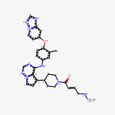 Cc1cc(Nc2ncnn3ccc(C4CCN(C(=O)/C=C/CNC(=O)O)CC4)c23)ccc1Oc1ccn2ncnc2c1